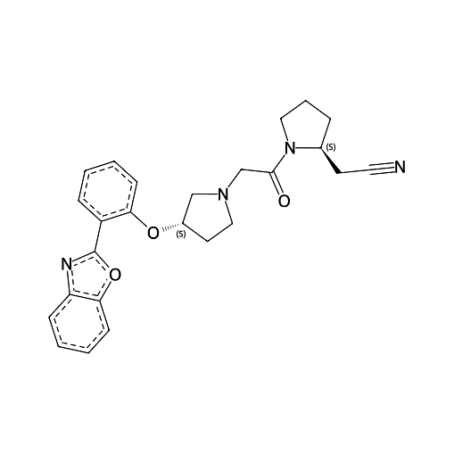 N#CC[C@@H]1CCCN1C(=O)CN1CC[C@H](Oc2ccccc2-c2nc3ccccc3o2)C1